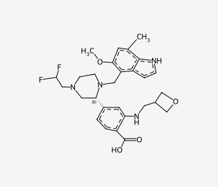 COc1cc(C)c2[nH]ccc2c1CN1CCN(CC(F)F)C[C@H]1c1ccc(C(=O)O)c(NCC2COC2)c1